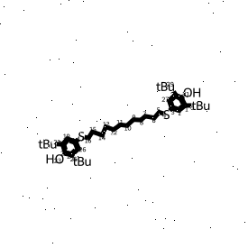 CC(C)(C)c1cc(SCCCCCCCCCCCCSc2cc(C(C)(C)C)c(O)c(C(C)(C)C)c2)cc(C(C)(C)C)c1O